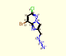 [N-]=[N+]=NCc1cn2nc(Cl)cc(Br)c2n1